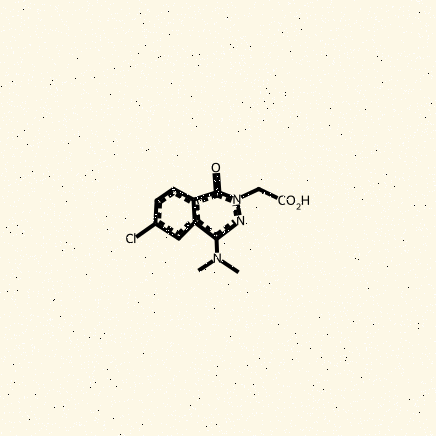 CN(C)c1nn(CC(=O)O)c(=O)c2ccc(Cl)cc12